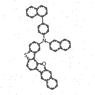 c1ccc2cc(N(c3ccc(-c4cccc5ccccc45)cc3)c3ccc4sc5ccc6c7cc8ccccc8cc7oc6c5c4c3)ccc2c1